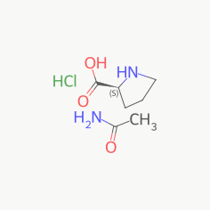 CC(N)=O.Cl.O=C(O)[C@@H]1CCCN1